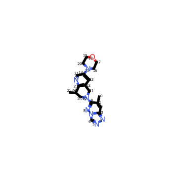 Cc1cc2nncn2nc1N1Cc2cc(N3CCOCC3)cnc2C(C)C1